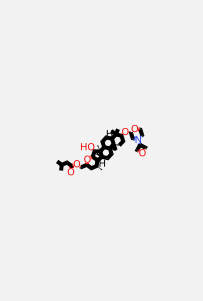 CC(C)CC(=O)OCC1C[C@@H](C)[C@H]2C(O1)[C@H](O)[C@@]1(C)C3CC[C@H]4C(C)(C)[C@@H](O[C@H]5CN(C6COC6)CCO5)CC[C@@]45C[C@@]35CC[C@]21C